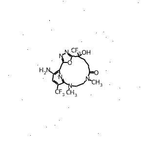 CN1CCN(C)c2nc(c(N)cc2C(F)(F)F)-c2nnc(o2)C(O)(C(F)(F)F)CCC1=O